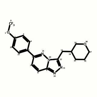 FC(F)(F)Oc1ccc(-c2ccc3nnc(CC4CCCOC4)n3n2)cc1